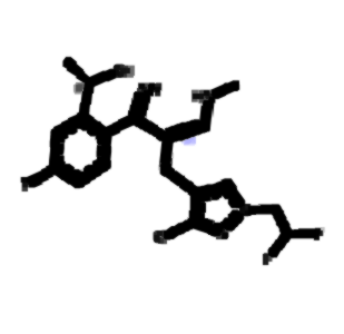 CN/C=C(/Cc1cn(CC(F)F)nc1Cl)C(=N)c1ccc(F)cc1[C@@H](C)O